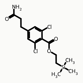 C[Si](C)(C)CCOC(=O)c1c(Cl)cc(CCC(N)=O)cc1Cl